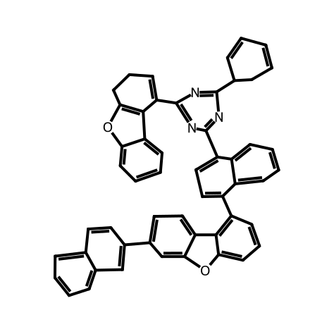 C1=CCC(c2nc(C3=CCCc4oc5ccccc5c43)nc(-c3ccc(-c4cccc5oc6cc(-c7ccc8ccccc8c7)ccc6c45)c4ccccc34)n2)C=C1